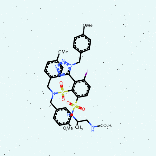 COc1ccc(CN(Cc2ccc(OC)cc2)S(=O)(=O)c2c(S(=O)(=O)NC(C)CNC(=O)O)ccc(I)c2-c2nnnn2Cc2ccc(OC)cc2)cc1